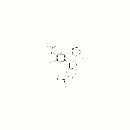 CCc1cccc(CC)c1-n1nc2c(c1-c1ccc(NC(N)=O)c(F)c1)CN(C(CC)CC)CC2